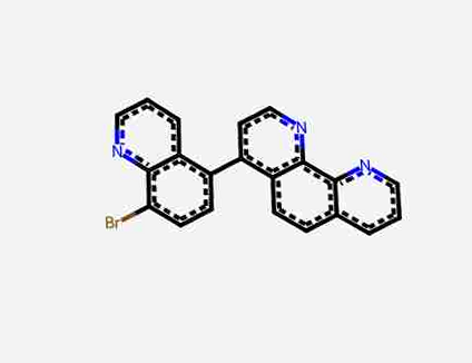 Brc1ccc(-c2ccnc3c2ccc2cccnc23)c2cccnc12